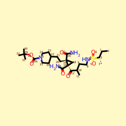 CC[C@H](C)S(=O)(=O)NCCC(C)C(=O)[C@@]1(C(N)=O)C[C@@]1(CCC1CCN(C(=O)OC(C)(C)C)CC1)C(N)=O